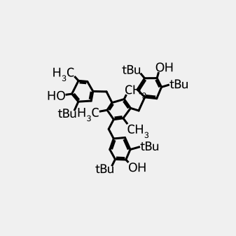 Cc1cc(Cc2c(C)c(Cc3cc(C(C)(C)C)c(O)c(C(C)(C)C)c3)c(C)c(Cc3cc(C(C)(C)C)c(O)c(C(C)(C)C)c3)c2C)cc(C(C)(C)C)c1O